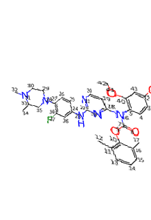 COc1ccc(N(C(=O)Oc2c(C)cccc2C)c2ccnc(Nc3ccc(N4CCN(C)C(C)C4)c(F)c3)n2)c(OC)c1